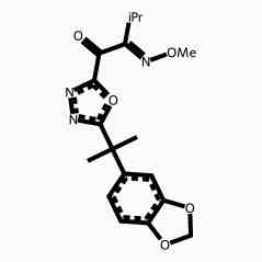 CON=C(C(=O)c1nnc(C(C)(C)c2ccc3c(c2)OCO3)o1)C(C)C